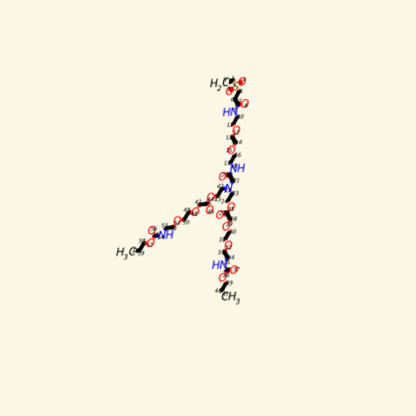 C=CS(=O)(=O)CCC(=O)NCCOCCOCCNC(=O)CN(CCOC(=O)COCCOCCNC(=O)OCCC)CCOC(=O)COCCOCCNC(=O)OCCC